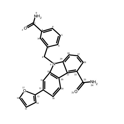 NC(=O)c1cccc(Cn2c3cc(-c4ccco4)c[c]c3c3c(C(N)=O)cccc32)c1